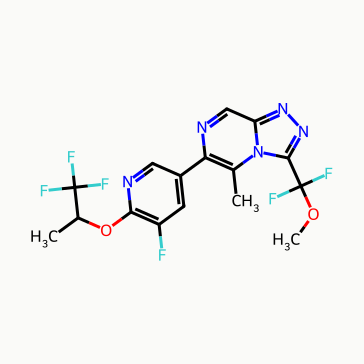 COC(F)(F)c1nnc2cnc(-c3cnc(OC(C)C(F)(F)F)c(F)c3)c(C)n12